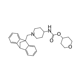 O=C(NC1CCN(CC23CC(c4ccccc42)c2ccccc23)CC1)OC1CCOCC1